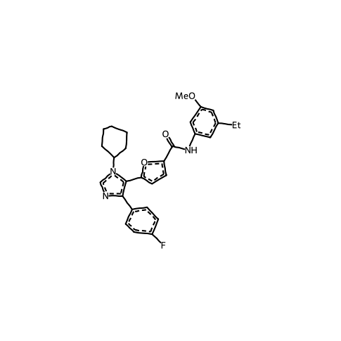 CCc1cc(NC(=O)c2ccc(-c3c(-c4ccc(F)cc4)ncn3C3CCCCC3)o2)cc(OC)c1